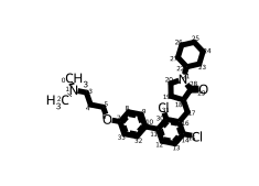 CN(C)CCCOc1ccc(-c2ccc(Cl)c(CC3CCN(C4CCCCC4)C3=O)c2Cl)cc1